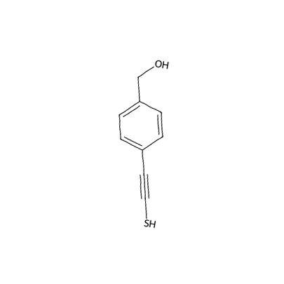 OCc1ccc(C#CS)cc1